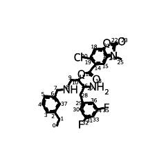 CCc1cccc(CNCC(OC(=O)c2cc3c(cc2Cl)oc(=O)n3C)C(N)Cc2cc(F)cc(F)c2)c1